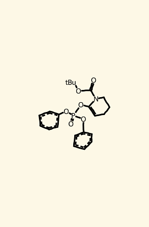 CC(C)(C)OC(=O)N1CCCC=C1OP(=O)(Oc1ccccc1)Oc1ccccc1